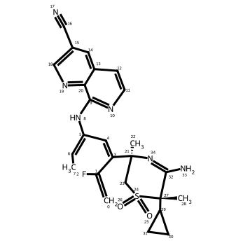 C=C(F)/C(=C\C(=C/C)Nc1nccc2cc(C#N)cnc12)[C@]1(C)CS(=O)(=O)[C@@](C)(C2CC2)C(N)=N1